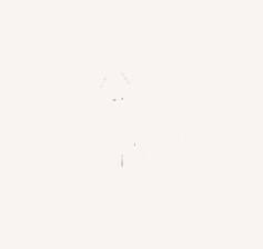 CCC12C(=O)CC(Sc3ccccc3Cl)C1C2C(=O)O